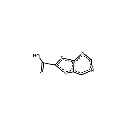 O=C(O)c1nc2cncnc2s1